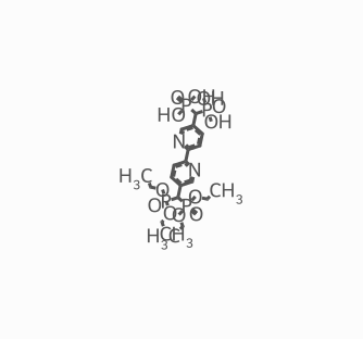 CCOP(=O)(OCC)C(c1ccc(-c2ccc(C(P(=O)(O)O)P(=O)(O)O)cn2)nc1)P(=O)(OCC)OCC